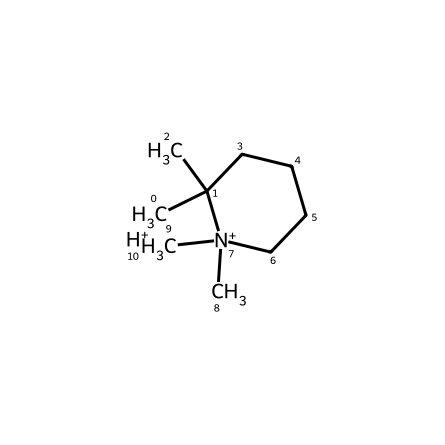 CC1(C)CCCC[N+]1(C)C.[H+]